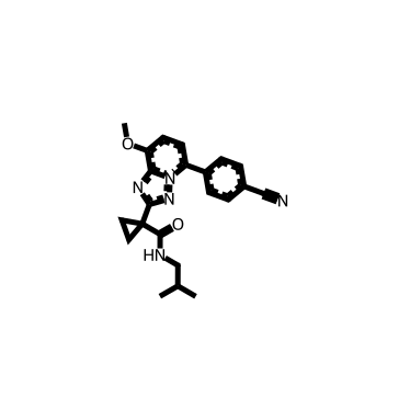 COc1ccc(-c2ccc(C#N)cc2)n2nc(C3(C(=O)NCC(C)C)CC3)nc12